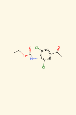 CCOC(=O)Nc1c(Cl)cc(C(C)=O)cc1Cl